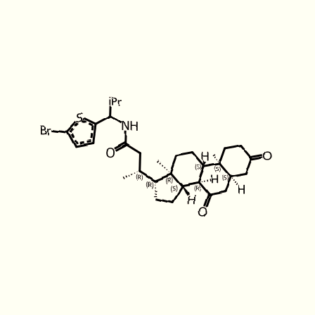 CC(C)C(NC(=O)C[C@@H](C)[C@H]1CC[C@H]2[C@@H]3C(=O)C[C@@H]4CC(=O)CC[C@]4(C)[C@H]3CC[C@]12C)c1ccc(Br)s1